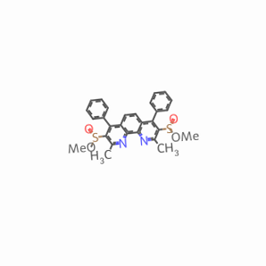 COS(=O)c1c(C)nc2c(ccc3c(-c4ccccc4)c(S(=O)OC)c(C)nc32)c1-c1ccccc1